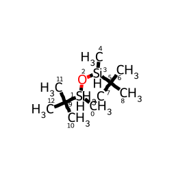 C[SiH](O[SiH](C)C(C)(C)C)C(C)(C)C